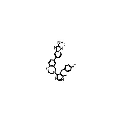 Cc1ncnc(N2CCOc3ccc(-c4ccn5nc(N)nc5c4)cc3C2)c1Cc1ccc(F)cc1